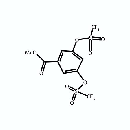 COC(=O)c1cc(OS(=O)(=O)C(F)(F)F)cc(OS(=O)(=O)C(F)(F)F)c1